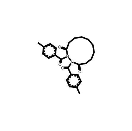 Cc1ccc(C(=O)N2C(=O)CCCCCCCCC(=O)N2C(=O)c2ccc(C)cc2)cc1